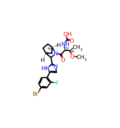 CO[C@H](C)[C@H](NC(=O)O)C(=O)N1C(c2ncc(-c3ccc(Br)cc3F)[nH]2)[C@H]2CC[C@@H]1C2